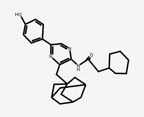 O=C(CC1CCCCC1)Nc1ncc(-c2ccc(O)cc2)nc1CC12CC3CC(CC(C3)C1)C2